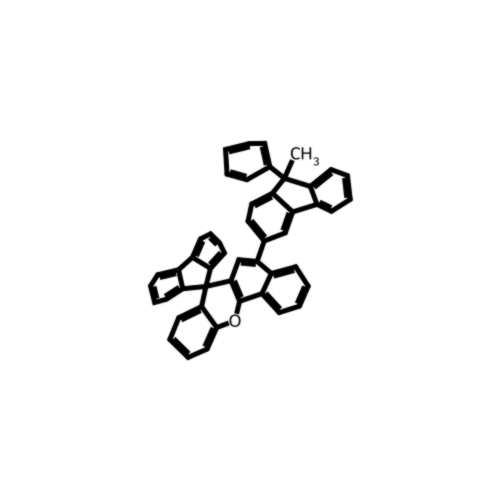 CC1(c2ccccc2)c2ccccc2-c2cc(-c3cc4c(c5ccccc35)Oc3ccccc3C43c4ccccc4-c4ccccc43)ccc21